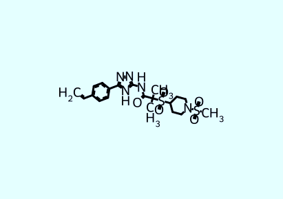 C=Cc1ccc(-c2nnc(NC(=O)C(C)(C)S(=O)(=O)C3CCN(S(C)(=O)=O)CC3)[nH]2)cc1